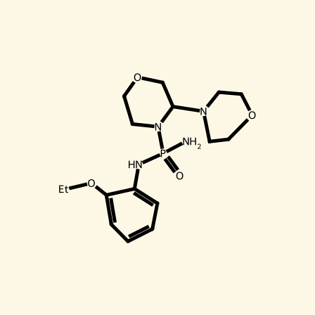 CCOc1ccccc1NP(N)(=O)N1CCOCC1N1CCOCC1